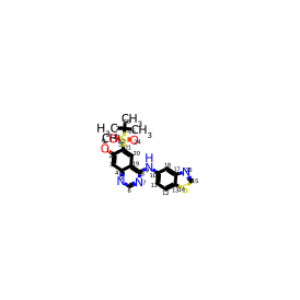 COc1cc2ncnc(Nc3ccc4scnc4c3)c2cc1S(=O)(=O)C(C)(C)C